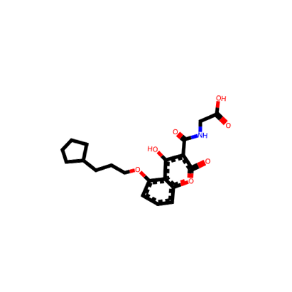 O=C(O)CNC(=O)c1c(O)c2c(OCCCC3CCCC3)cccc2oc1=O